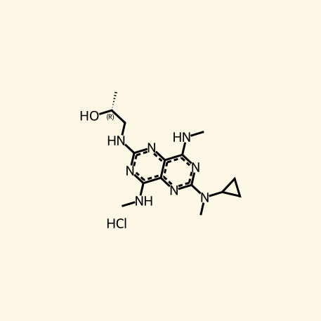 CNc1nc(N(C)C2CC2)nc2c(NC)nc(NC[C@@H](C)O)nc12.Cl